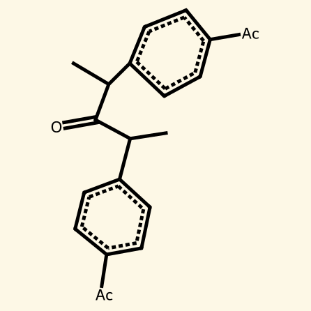 CC(=O)c1ccc(C(C)C(=O)C(C)c2ccc(C(C)=O)cc2)cc1